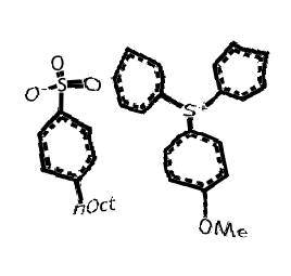 CCCCCCCCc1ccc(S(=O)(=O)[O-])cc1.COc1ccc([S+](c2ccccc2)c2ccccc2)cc1